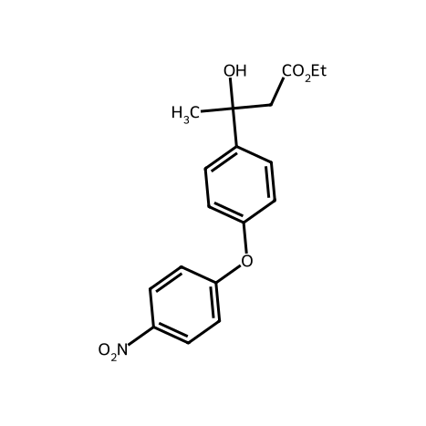 CCOC(=O)CC(C)(O)c1ccc(Oc2ccc([N+](=O)[O-])cc2)cc1